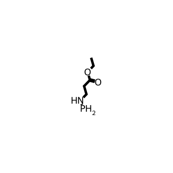 CCOC(=O)CCNP